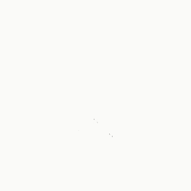 CC(C)=NN1CC(C2CCCCC2)Cc2ccccc21